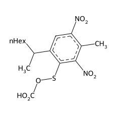 CCCCCCC(C)c1cc([N+](=O)[O-])c(C)c([N+](=O)[O-])c1SOC(=O)O